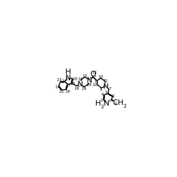 C=C/C=C(\C=C/N)CN1CCC(C(=O)N2CCN(Cc3c[nH]c4ccccc34)CC2)CC1